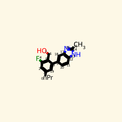 CCCc1cc(F)c(CO)c(-c2ccc3[nH]c(C)nc3c2)c1